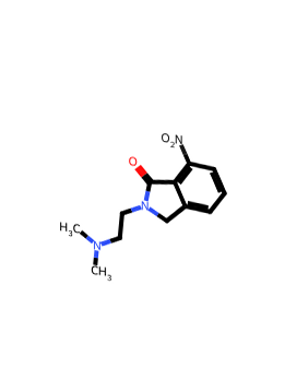 CN(C)CCN1Cc2cccc([N+](=O)[O-])c2C1=O